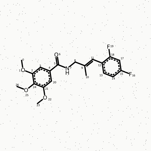 COc1cc(C(=O)NC/C(C)=C/c2ccc(F)cc2F)cc(OC)c1OC